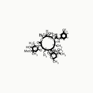 CC[C@H]1OC(=O)[C@H](C)[C@@H](O[C@H]2C[C@@](C)(OC)[C@@H](O)[C@H](C)O2)[C@H](C)[C@@H](O[C@@H]2O[C@H](C)C[C@H](N(C)C)[C@H]2O)C(C)(O)C[C@@H](C)CN(C(=S)Nc2cccc(C(F)(F)F)c2)[C@H](C)[C@@H](O)[C@]1(C)O